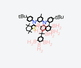 Bc1cc(C(C)(C)c2ccc3c(c2)B2c4sc5c(c4N(c4ccc(C(C)(C)C)cc4)c4cc(C)cc(c42)N3c2ccc(C(C)(C)C)cc2-c2c(B)c(B)c(B)c(B)c2B)C(C)(C)CCC5(C)C)cc(B)c1B